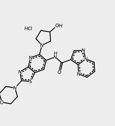 Cl.O=C(Nc1cc2sc(N3CCOCC3)nc2nc1N1CCC(O)C1)c1cnn2cccnc12